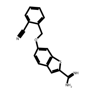 N#Cc1ccccc1COc1ccc2cc(C(=N)N)sc2c1